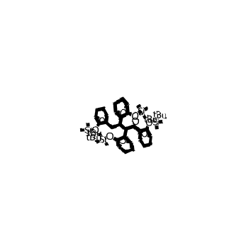 CC(C)(C)[Si](C)(C)OC1C2CCC(O2)C1CC(C(C(=O)C1C2CCC(O2)C1O[Si](C)(C)C(C)(C)C)C1C2CCC(O2)C1O[Si](C)(C)C(C)(C)C)C1C2CCC(O2)C1O[Si](C)(C)C(C)(C)C